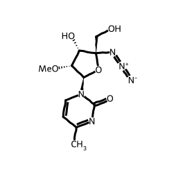 CO[C@H]1[C@H](n2ccc(C)nc2=O)O[C@@](CO)(N=[N+]=[N-])[C@H]1O